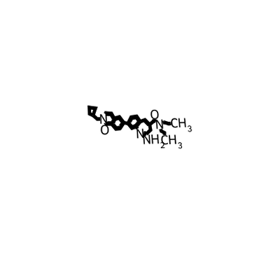 CCCN(CCC)C(=O)C1=Cc2ccc(-c3ccc4c(=O)n(CC5CCC5)ccc4c3)cc2N=C(N)C1